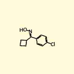 O/N=C(/c1ccc(Cl)cc1)C1CCC1